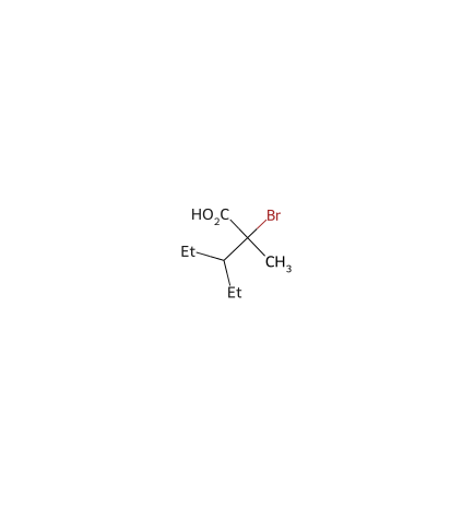 CCC(CC)C(C)(Br)C(=O)O